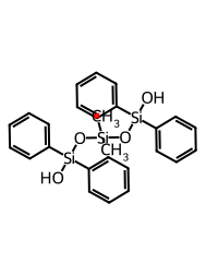 C[Si](C)(O[Si](O)(c1ccccc1)c1ccccc1)O[Si](O)(c1ccccc1)c1ccccc1